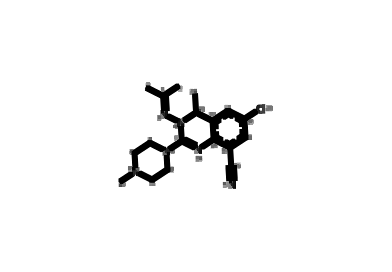 CC(C)=NN1C(N2CCN(C)CC2)=Nc2c(C#N)cc(Cl)cc2C1C